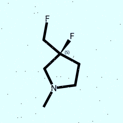 CN1CC[C@@](F)(CF)C1